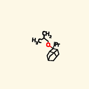 C=C(C)COC1(C(C)C)C2CC3CC(C2)CC1C3